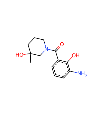 CC1(O)CCCN(C(=O)c2cccc(N)c2O)C1